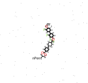 CCCCCC1COC(c2ccc(C3CCC(C(F)(F)Oc4ccc(-c5ccc(OC(F)(F)F)c(F)c5)c(F)c4)CC3)cc2)OC1